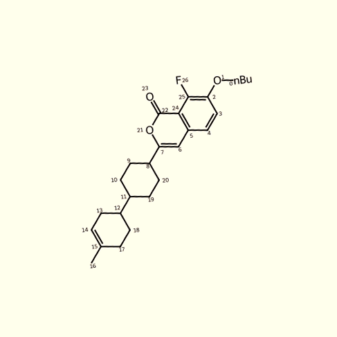 CCCCOc1ccc2cc(C3CCC(C4CC=C(C)CC4)CC3)oc(=O)c2c1F